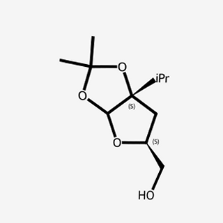 CC(C)[C@@]12C[C@@H](CO)OC1OC(C)(C)O2